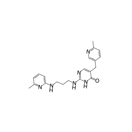 Cc1ccc(Cc2cnc(NCCCNc3cccc(C)n3)[nH]c2=O)cn1